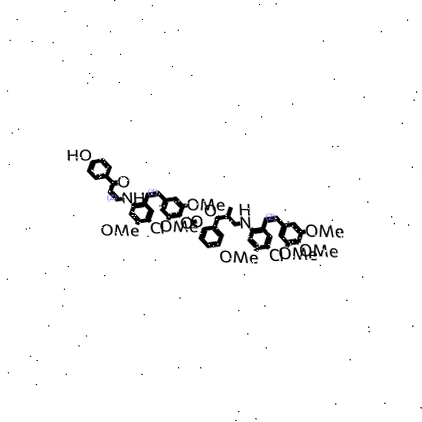 COc1cc(N/C=C\C(=O)c2ccc(O)cc2)c(/C=C\c2cc(OC)c(OOc3ccccc3C(=O)C(C)CNc3cc(OC)c(Cl)cc3/C=C\c3cc(OC)c(OC)c(OC)c3)c(OC)c2)cc1Cl